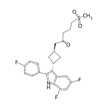 CS(=O)(=O)CCCC(=O)C[C@H]1C[C@H](c2c(-c3ccc(F)cc3)[nH]c3c(F)cc(F)cc32)C1